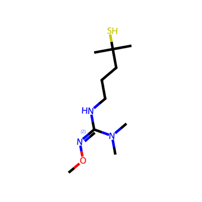 CO/N=C(/NCCCC(C)(C)S)N(C)C